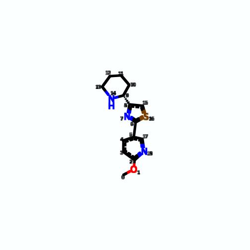 COc1ccc(-c2nc([C@H]3CCCCN3)cs2)cn1